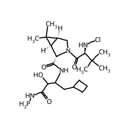 CC(C)(C)[C@H](NCl)C(=O)N1C[C@H]2[C@@H]([C@H]1C(=O)NC(CC1CCC1)C(O)C(=O)NP)C2(C)C